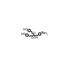 NOc1ccc(/C=C/C(O)=C(C(=O)/C=C/c2ccc(O)cc2)C(=O)/C=C/c2ccc(O)cc2)cc1